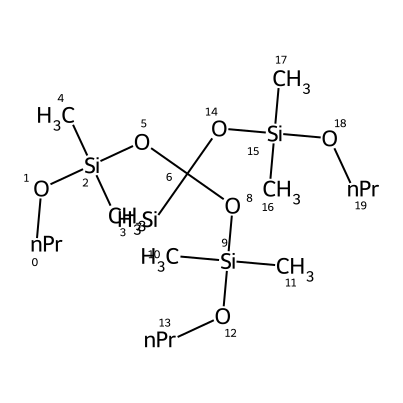 CCCO[Si](C)(C)OC([SiH3])(O[Si](C)(C)OCCC)O[Si](C)(C)OCCC